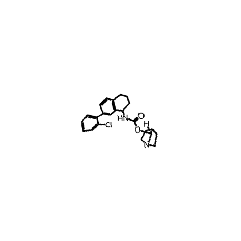 O=C(NC1CCCc2ccc(-c3ccccc3Cl)cc21)O[C@H]1CN2CCC1CC2